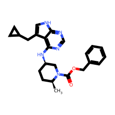 C[C@H]1CC[C@@H](Nc2ncnc3[nH]cc(CC4CC4)c23)CN1C(=O)OCc1ccccc1